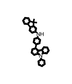 CC1(C)c2ccccc2-c2ccc(Nc3ccc(-c4cccc5c4c4ccccc4n5-c4ccccc4)cc3)cc21